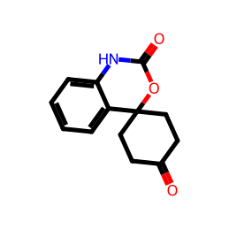 O=C1CCC2(CC1)OC(=O)Nc1ccccc12